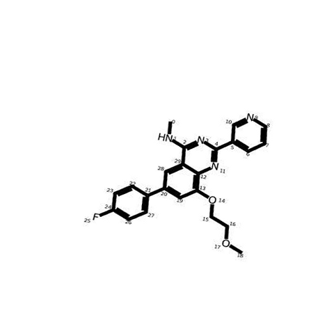 CNc1nc(-c2cccnc2)nc2c(OCCOC)cc(-c3ccc(F)cc3)cc12